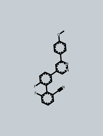 COc1ccc(-c2cc(-c3ccc(F)c(-c4c(F)cccc4C#N)c3)cnn2)cc1